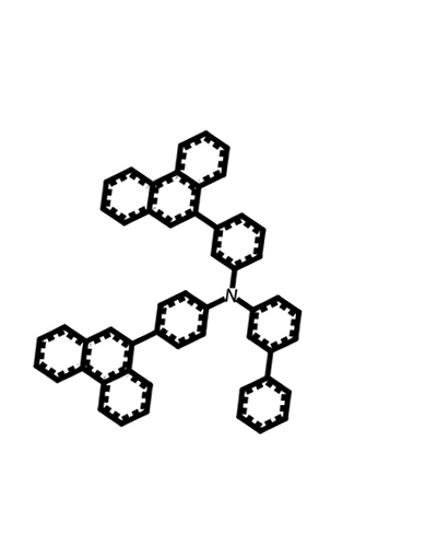 c1ccc(-c2cccc(N(c3ccc(-c4cc5ccccc5c5ccccc45)cc3)c3cccc(-c4cc5ccccc5c5ccccc45)c3)c2)cc1